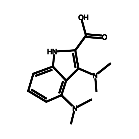 CN(C)c1cccc2[nH]c(C(=O)O)c(N(C)C)c12